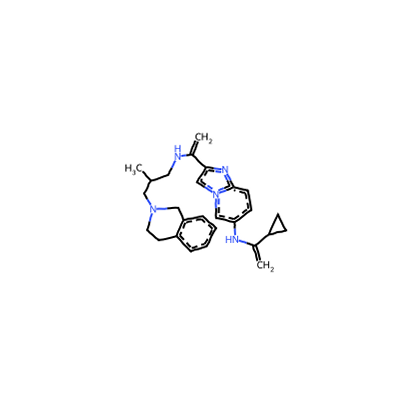 C=C(NCC(C)CN1CCc2ccccc2C1)c1cn2cc(NC(=C)C3CC3)ccc2n1